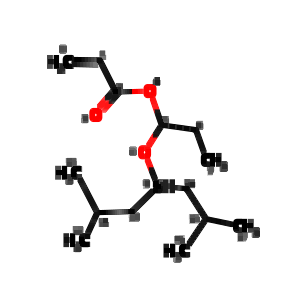 C=CC(=O)OC(CC)O[SiH](CC(C)C)CC(C)C